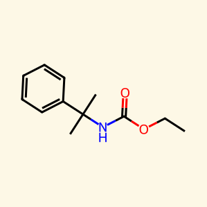 CCOC(=O)NC(C)(C)c1ccccc1